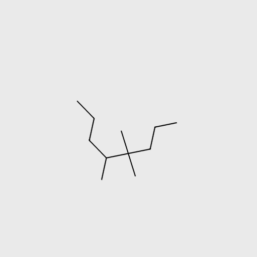 CCCC(C)C(C)(C)CCC